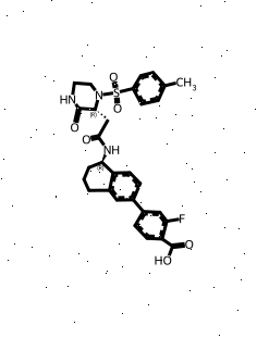 Cc1ccc(S(=O)(=O)N2CCNC(=O)[C@H]2CC(=O)N[C@@H]2CCCc3cc(-c4ccc(C(=O)O)c(F)c4)ccc32)cc1